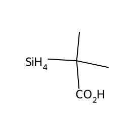 CC(C)(C)C(=O)O.[SiH4]